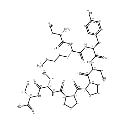 NCCCC[C@H](NC(=O)[C@@H](N)CO)C(=O)N[C@@H](Cc1ccc(O)cc1)C(=O)N[C@@H](CS)C(=O)N1CCC[C@H]1C(=O)N1CCC[C@H]1C(=O)N[C@@H](CO)C(=O)N[C@@H](CS)C(=O)O